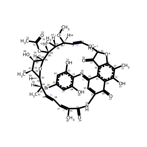 CO[C@H]1/C=C/O[C@@]2(C)Oc3c(C)c(O)c4c(c3C2=O)/C(=N/c2c(O)cc(Br)cc2O)C=C(NC(=O)/C(C)=C\C=C\[C@H](C)[C@@H]2O[C@H]([C@H](O)[C@@H]2C)[C@H](OC(C)=O)[C@@H]1C)C4=O